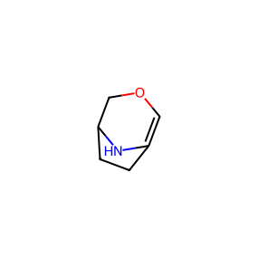 C1=C2CCC(CO1)N2